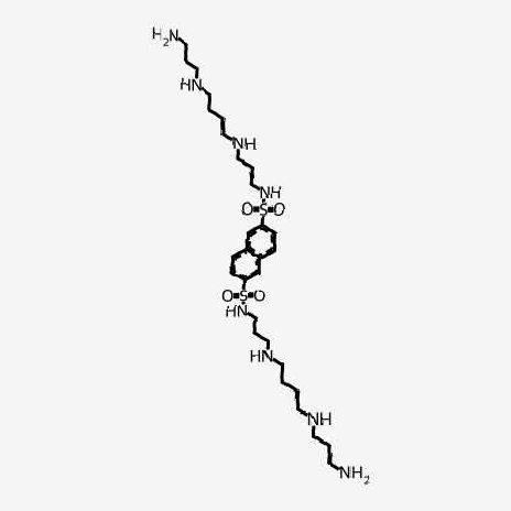 NCCCNCCCCNCCCNS(=O)(=O)c1ccc2cc(S(=O)(=O)NCCCNCCCCNCCCN)ccc2c1